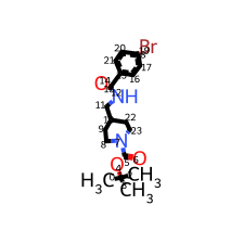 CC(C)(C)OC(=O)N1CCC(CNC(=O)c2ccc(Br)cc2)CC1